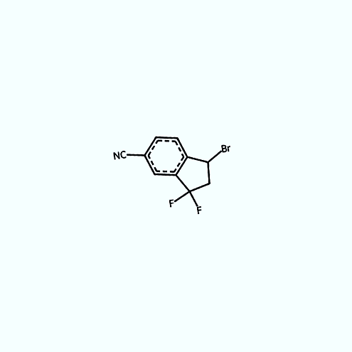 N#Cc1ccc2c(c1)C(F)(F)CC2Br